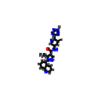 Cc1cc(NC(=O)c2cnn(-c3cccc4ncccc34)c2C(F)(F)F)cnc1-c1nnn(C)n1